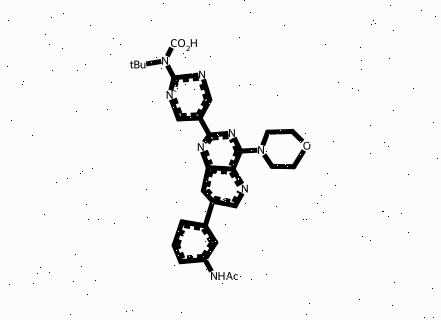 CC(=O)Nc1cccc(-c2cnc3c(N4CCOCC4)nc(-c4cnc(N(C(=O)O)C(C)(C)C)nc4)nc3c2)c1